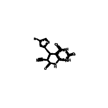 N#CC1C(=O)Nc2[nH]c(=O)[nH]c(=O)c2C1c1cc(Br)cs1